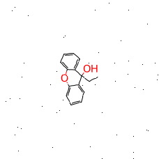 CCC1(O)c2ccccc2Oc2ccccc21